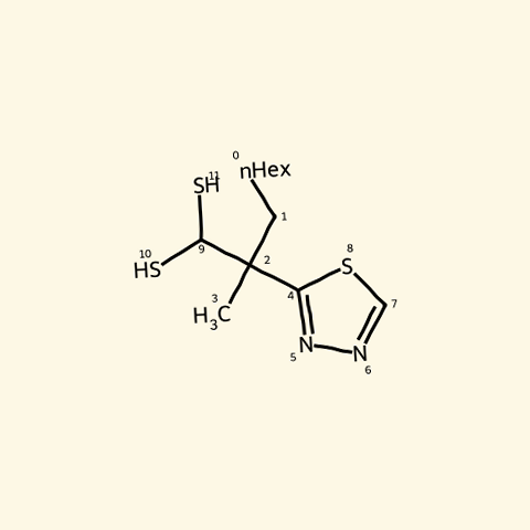 CCCCCCCC(C)(c1nncs1)C(S)S